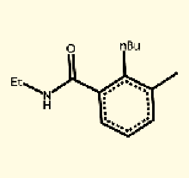 CCCCc1c(C)cccc1C(=O)NCC